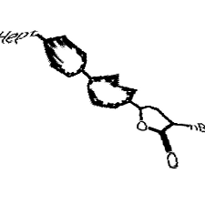 CCCCCCCc1ccc(-c2ccc(C3CC(CCCC)C(=O)O3)cc2)cc1